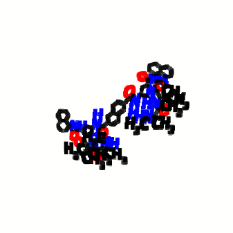 CN[C@@H](C)C(=O)N[C@H](C(=O)C1C[C@@H](NC(=O)c2ccc3cc(C(=O)N[C@H]4C[C@@H](C(=O)N[C@@H]5CCCc6ccccc65)N(C(=O)[C@@H](NC(=O)[C@H](C)NC)C(C)(C)C)C4)ccc3c2)C[C@H]1C(=O)N[C@@H]1CCCc2ccccc21)C(C)(C)C